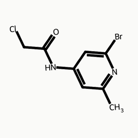 Cc1cc(NC(=O)CCl)cc(Br)n1